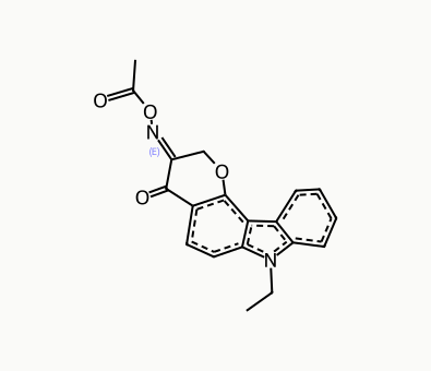 CCn1c2ccccc2c2c3c(ccc21)C(=O)/C(=N/OC(C)=O)CO3